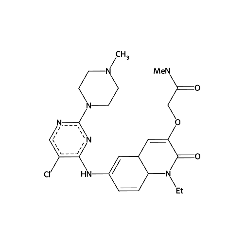 CCN1C(=O)C(OCC(=O)NC)=CC2C=C(Nc3nc(N4CCN(C)CC4)ncc3Cl)C=CC21